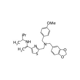 C=C(NC(C)C(C)C)c1csc(CN(Cc2ccc(OC)cc2)Cc2ccc3c(c2)OCO3)n1